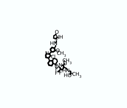 COc1cc(-c2nccc(-c3cccc4c3CCC[C@H]4Oc3nc(OC)c(CNC[C@@H](C)O)cc3C(F)(F)F)c2Cl)ccc1CNC[C@H]1CCC(=O)N1